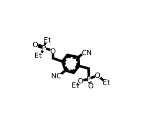 CCOP(=O)(Cc1cc(C#N)c(COP(=O)(CC)CC)cc1C#N)OCC